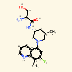 Cc1c(F)cc(N2C[C@@H](C)C[C@@H](NC(=O)C(N)CO)C2)c2cccnc12